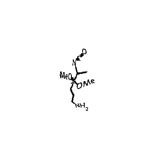 CO[Si](CCCN)(OC)C(C)N=C=O